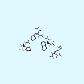 CC(C)C(C)B(C=C[Si](C)(C)C)C(C)C(C)C.CC(C)C(C)B(Cc1ccccc1)C(C)C(C)C.CC(C)C(C)B(c1cccc2ccccc12)C(C)C(C)C.CC(C)C(C)B(c1ccccc1)C(C)C(C)C